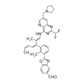 C\C=C/C=C(\C(C)=C\Nc1nc(C(F)F)nc2cc(CN3CCCC3)cnc12)c1cccc(-c2nc3cc(C=O)ccc3o2)c1C